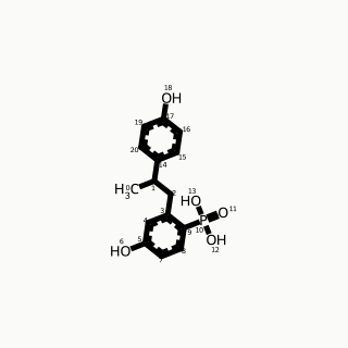 CC(Cc1cc(O)ccc1P(=O)(O)O)c1ccc(O)cc1